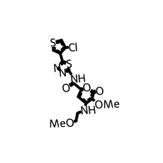 COCCNc1cc(C(=O)Nc2nnc(-c3cscc3Cl)s2)oc(=O)c1OC